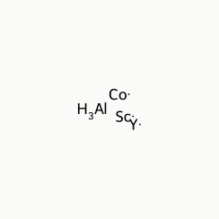 [AlH3].[Co].[Sc].[Y]